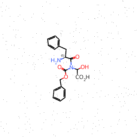 N[C@@H](Cc1ccccc1)C(=O)N(C(=O)OCc1ccccc1)C(O)C(=O)O